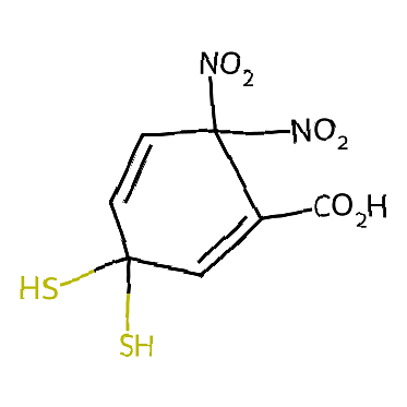 O=C(O)C1=CC(S)(S)C=CC1([N+](=O)[O-])[N+](=O)[O-]